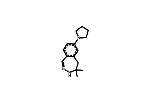 CC1(C)Cc2cc(N3CCCC3)ccc2C=NN1